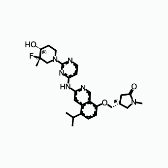 CC(C)c1ccc(OC[C@@H]2CC(=O)N(C)C2)c2cnc(Nc3ccnc(N4CC[C@@H](O)[C@@](C)(F)C4)n3)cc12